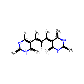 C=C1NC(=C)C(=C(C)/C(C)=C(\C)C2=C(C)NC(=C)NC2=C)C(=C)N1